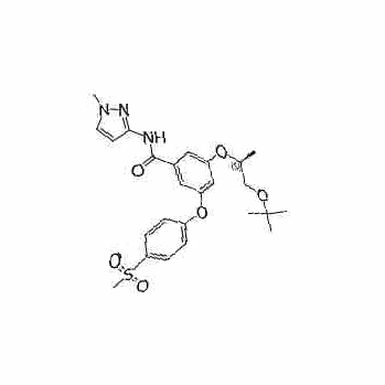 C[C@@H](COC(C)(C)C)Oc1cc(Oc2ccc(S(C)(=O)=O)cc2)cc(C(=O)Nc2ccn(C)n2)c1